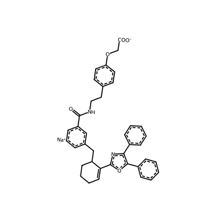 O=C([O-])COc1ccc(CCNC(=O)c2cccc(CC3CCCC=C3c3nc(-c4ccccc4)c(-c4ccccc4)o3)c2)cc1.[Na+]